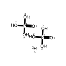 O=P(O)(O)O.O=P(O)(O)O.[2H]